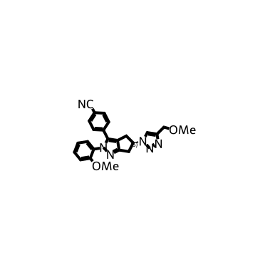 COCc1cn([C@@H]2Cc3nn(-c4ccccc4OC)c(-c4ccc(C#N)cc4)c3C2)nn1